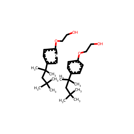 CC(C)(C)CC(C)(C)c1ccc(OCCO)cc1.CC(C)(C)CC(C)(C)c1ccc(OCCO)cc1